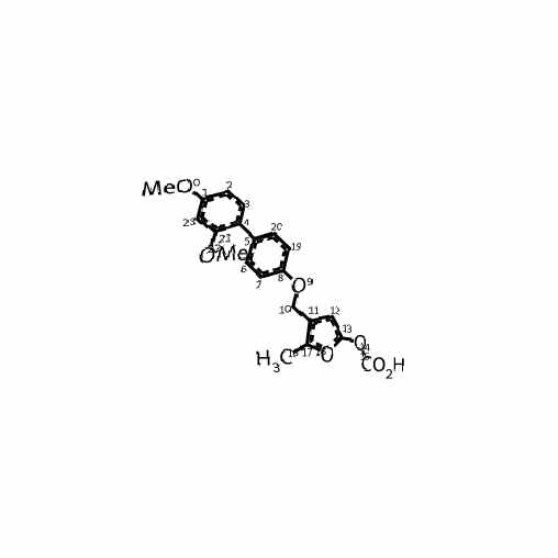 COc1ccc(-c2ccc(OCc3cc(OC(=O)O)oc3C)cc2)c(OC)c1